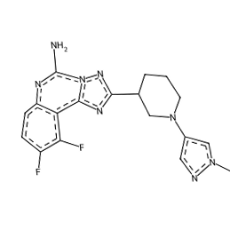 Cn1cc(N2CCCC(c3nc4c5c(F)c(F)ccc5nc(N)n4n3)C2)cn1